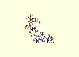 CC1(COC(=O)N2CCC(c3cnn4cc(-c5cscn5)cnc34)CC2)CC1